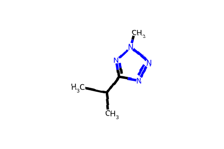 CC(C)c1nnn(C)n1